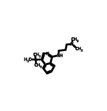 CN(C)CCCNc1ncc(C(C)(C)C)c2ccccc12